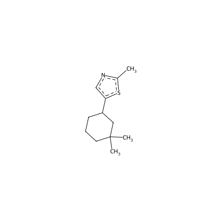 Cc1ncc(C2CCCC(C)(C)C2)s1